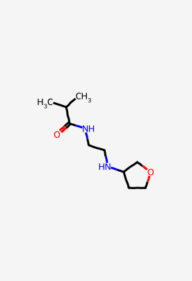 CC(C)C(=O)NCCNC1CCOC1